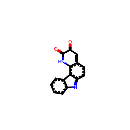 O=C1C=c2ccc3c(c2NC1=O)-c1ccccc1N=3